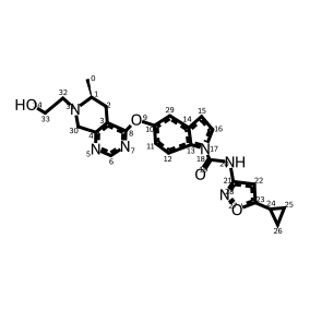 C[C@H]1Cc2c(ncnc2Oc2ccc3c(ccn3C(=O)Nc3cc(C4CC4)on3)c2)CN1CCO